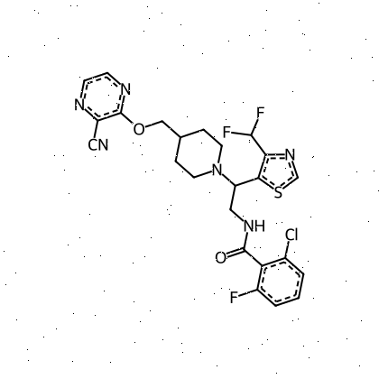 N#Cc1nccnc1OCC1CCN(C(CNC(=O)c2c(F)cccc2Cl)c2scnc2C(F)F)CC1